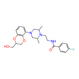 CC1CN(c2cccc3c2OCC(CO)O3)CC(C)N1CCNC(=O)c1ccc(F)cc1